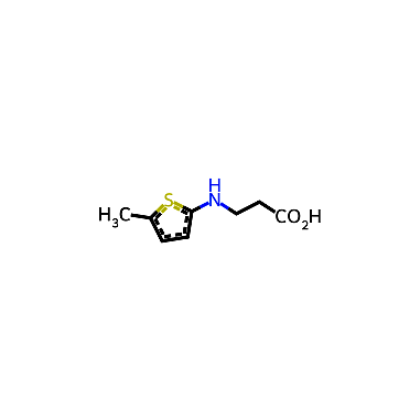 Cc1ccc(NCCC(=O)O)s1